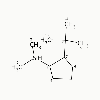 C[SiH](C)[C]1CCCC1C(C)(C)C